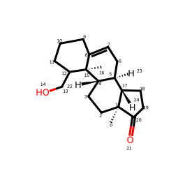 C[C@]12CC[C@H]3[C@@H](CC=C4CCCC(CO)[C@@]43C)[C@@H]1CCC2=O